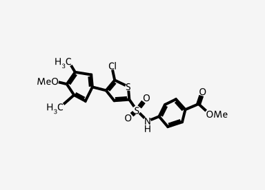 COC(=O)c1ccc(NS(=O)(=O)c2cc(-c3cc(C)c(OC)c(C)c3)c(Cl)s2)cc1